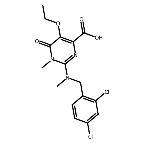 CCOc1c(C(=O)O)nc(N(C)Cc2ccc(Cl)cc2Cl)n(C)c1=O